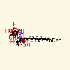 CCCCCCCCCCCCCCCCCCCCCCCC(=O)N[C@@H](COC1OC(CO)C(O)C(O)C1O)[C@H](O)[C@H](O)CCCCC